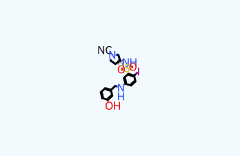 N#CN1CC[C@@H](NS(=O)(=O)c2cc(NCc3cccc(O)c3)ccc2I)C1